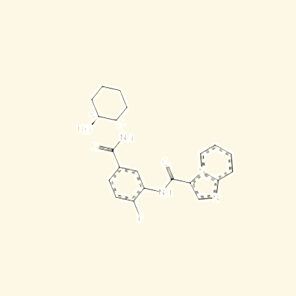 O=C(N[C@H]1CCCC[C@@H]1O)c1ccc(F)c(NC(=O)c2cnc3ccccn23)c1